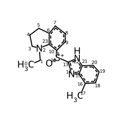 CCN1CCCc2cccc([S+]([O-])c3nc4c(C)cccc4[nH]3)c21